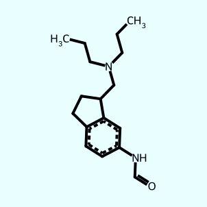 CCCN(CCC)CC1CCc2ccc(NC=O)cc21